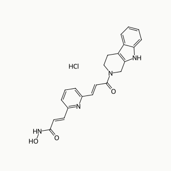 Cl.O=C(C=Cc1cccc(C=CC(=O)N2CCc3c([nH]c4ccccc34)C2)n1)NO